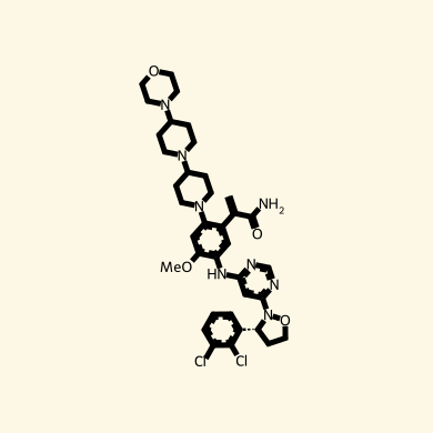 C=C(C(N)=O)c1cc(Nc2cc(N3OCC[C@@H]3c3cccc(Cl)c3Cl)ncn2)c(OC)cc1N1CCC(N2CCC(N3CCOCC3)CC2)CC1